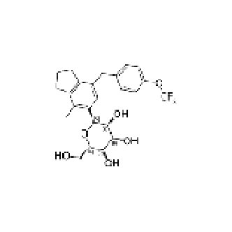 Cc1c([C@@H]2O[C@H](CO)[C@H](O)[C@H](O)[C@@H]2O)cc(Cc2ccc(OC(F)(F)F)cc2)c2c1CCC2